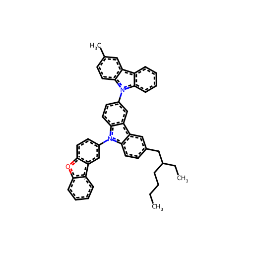 CCCCC(CC)Cc1ccc2c(c1)c1cc(-n3c4ccccc4c4cc(C)ccc43)ccc1n2-c1ccc2oc3ccccc3c2c1